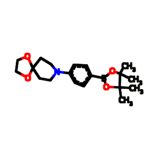 CC1(C)OB(c2ccc(N3CCC4(CC3)OCCO4)cc2)OC1(C)C